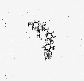 Nc1nc(F)ccc1C(=O)NCc1ccc(Oc2cccc(OC(F)(F)F)c2F)cc1